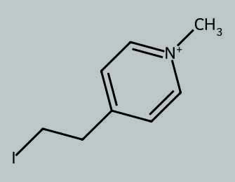 C[n+]1ccc(CCI)cc1